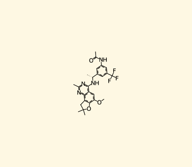 COc1cc2c(N[C@H](C)c3cc(NC(C)=O)cc(C(F)(F)F)c3)nc(C)nc2c2c1OC(C)(C)C2